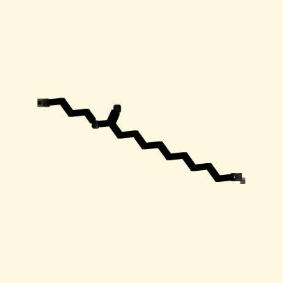 CCCCCCCCCCC(=O)OCCCO